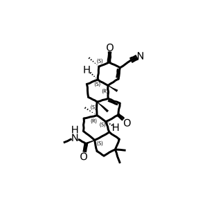 CNC(=O)[C@]12CCC(C)(C)CC1[C@@H]1C(=O)C=C3[C@@]4(C)C=C(C#N)C(=O)[C@@H](C)[C@@H]4CC[C@@]3(C)[C@]1(C)CC2